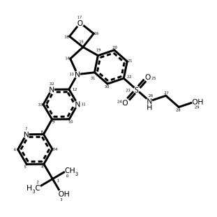 CC(C)(O)c1ccnc(-c2cnc(N3CC4(COC4)c4ccc(S(=O)(=O)NCCO)cc43)nc2)c1